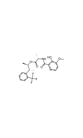 COc1ccnc(C(=O)N[C@@H](C)C(=O)O[C@H](C)[C@H](C)c2ccccc2C(F)(F)F)c1O